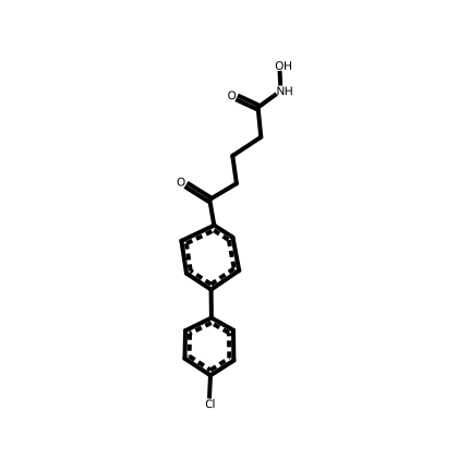 O=C(CCCC(=O)c1ccc(-c2ccc(Cl)cc2)cc1)NO